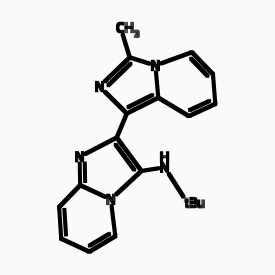 Cc1nc(-c2nc3ccccn3c2NC(C)(C)C)c2ccccn12